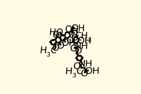 COc1cccc2c1C(=O)c1c(O)c3c(c(O)c1C2=O)C[C@@](O)(C(=O)CO)C[C@@H]3O[C@H]1C[C@H](NC(=O)OCc2ccc(NC(=O)[C@@H](C)CC(=O)O)cc2)[C@H](O)[C@H](C)O1